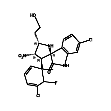 CC1([C@H]2[C@H]([N+](=O)[O-])[C@H](CCO)N[C@@]23C(=O)Nc2cc(Cl)ccc23)C=CC=C(Cl)C1F